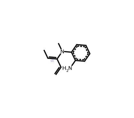 C=C/C(=C/C)N(C)c1ccccc1N